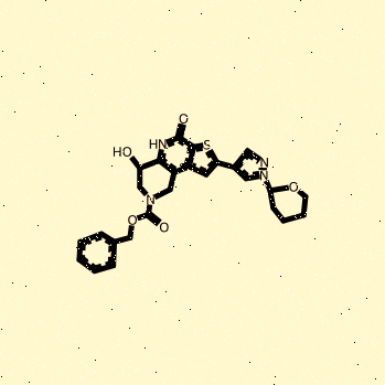 O=C(OCc1ccccc1)N1Cc2c([nH]c(=O)c3sc(-c4cnn(C5CCCCO5)c4)cc23)C(O)C1